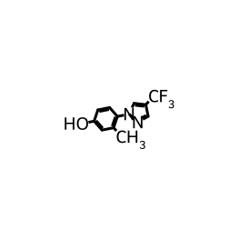 Cc1cc(O)ccc1-n1cc(C(F)(F)F)cn1